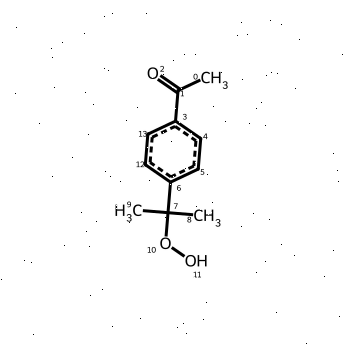 CC(=O)c1ccc(C(C)(C)OO)cc1